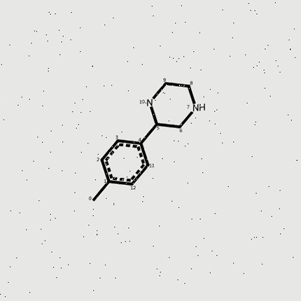 Cc1ccc(C2CNCC[N]2)cc1